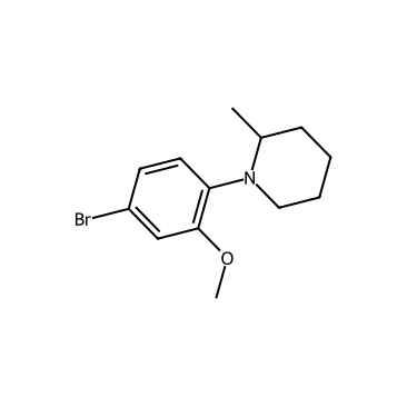 COc1cc(Br)ccc1N1CCCCC1C